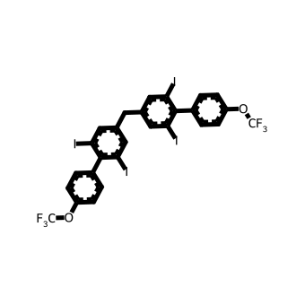 FC(F)(F)Oc1ccc(-c2c(I)cc(Cc3cc(I)c(-c4ccc(OC(F)(F)F)cc4)c(I)c3)cc2I)cc1